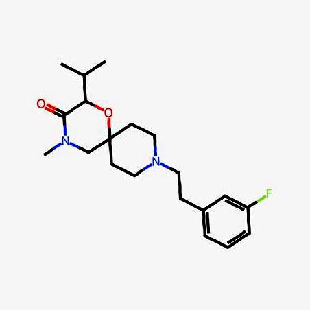 CC(C)C1OC2(CCN(CCc3cccc(F)c3)CC2)CN(C)C1=O